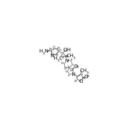 CC1=C(N2CCC3(CCN(C(C)(C)C(O)c4ccc(N)nc4)CC3)C2=O)COC1=O